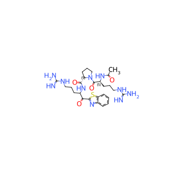 CC(=O)N[C@@H](CCCNC(=N)N)C(=O)N1CCC[C@H]1C(=O)NC(CCCNC(=N)N)C(=O)c1nc2ccccc2s1